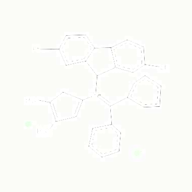 CCc1ccc2c(c1)[CH]([Zr+2]([C]1=CC(C)=C(C)C1)=[C](c1ccccc1)c1ccccc1)c1cc(CC)ccc1-2.[Cl-].[Cl-]